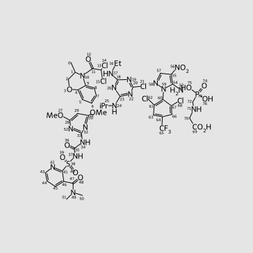 CC1COc2ccccc2N1C(=O)C(Cl)Cl.CCNc1nc(Cl)nc(NC(C)C)n1.COc1cc(OC)nc(NC(=O)NS(=O)(=O)c2ncccc2C(=O)N(C)C)n1.Nc1c([N+](=O)[O-])cnn1-c1c(Cl)cc(C(F)(F)F)cc1Cl.O=C(O)CNCP(=O)(O)O